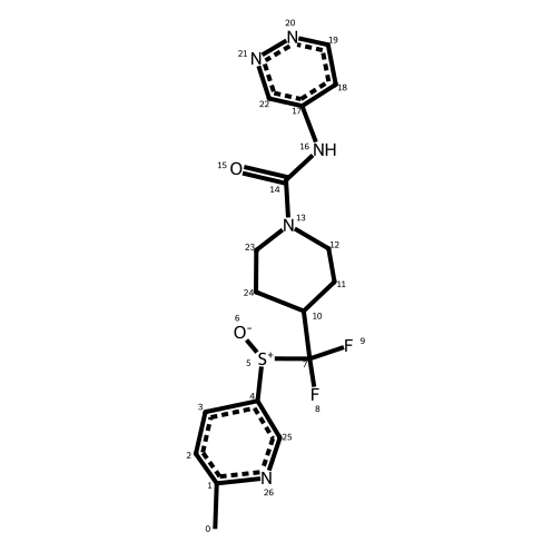 Cc1ccc([S+]([O-])C(F)(F)C2CCN(C(=O)Nc3ccnnc3)CC2)cn1